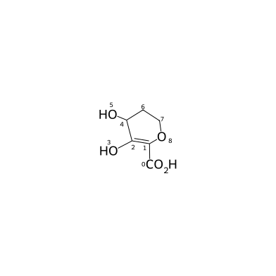 O=C(O)C1=C(O)C(O)CCO1